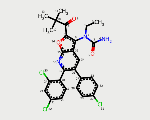 CCN(C(N)=O)c1c(C(=O)C(C)(C)C)oc2nc(-c3ccc(Cl)cc3Cl)c(-c3ccc(Cl)cc3)cc12